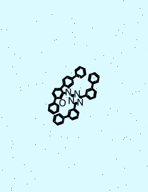 c1ccc(-c2cccc(-c3nc(-c4cccc(-c5ccccc5)c4)nc(-n4c5cc(-c6ccccc6)ccc5c5ccc6c7ccccc7oc6c54)n3)c2)cc1